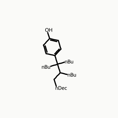 CCCCCCCCCCCC(CCCC)C(CCCC)(CCCC)c1ccc(O)cc1